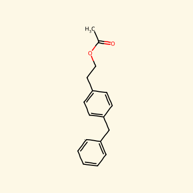 CC(=O)OCCc1ccc(Cc2[c]cccc2)cc1